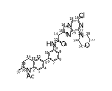 CC(=O)N1c2ccc(-c3cccc(NC(=O)Cc4cn5cc(Cl)nc(N6CCOCC6)c5n4)c3)cc2CC[C@@H]1C